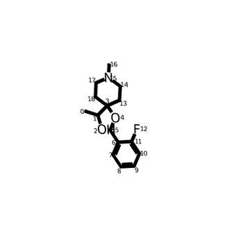 CC(O)C1(OCc2ccccc2F)CCN(C)CC1